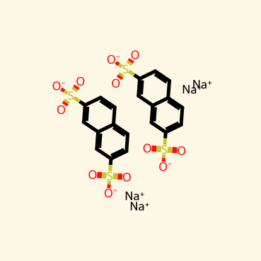 O=S(=O)([O-])c1ccc2ccc(S(=O)(=O)[O-])cc2c1.O=S(=O)([O-])c1ccc2ccc(S(=O)(=O)[O-])cc2c1.[Na+].[Na+].[Na+].[Na+]